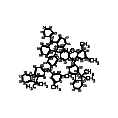 Cc1cc(C)cc(N(c2ccc(C3(c4ccc(N(c5ccc6c(c5)C(C)(C)c5ccccc5-6)c5cc(C)cc(C)c5C)cc4)c4ccccc4N(c4ccccc4)c4ccccc43)cc2)c2ccc3c(c2)C(C)(C)c2ccccc2-3)c1